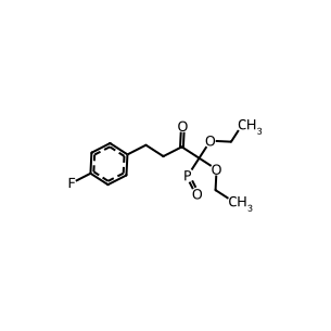 CCOC(OCC)(P=O)C(=O)CCc1ccc(F)cc1